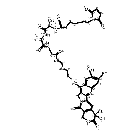 CC[C@@]1(O)C(=O)OCc2c1cc1n(c2=O)Cc2c-1nc1cc(F)c(C)cc1c2CCCCOCNC(=O)CNC(=O)[C@H](C)NC(=O)[C@H](C)NC(=O)CCCCCN1C(=O)C=CC1=O